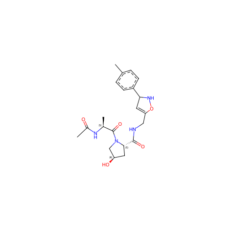 CC(=O)N[C@@H](C)C(=O)N1C[C@H](O)C[C@H]1C(=O)NCC1=CC(c2ccc(C)cc2)NO1